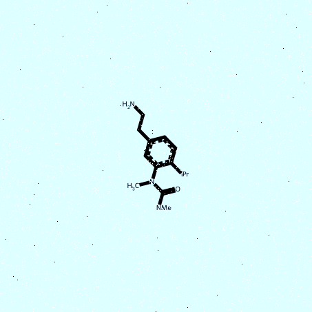 CNC(=O)N(C)c1cc(CCN)ccc1C(C)C